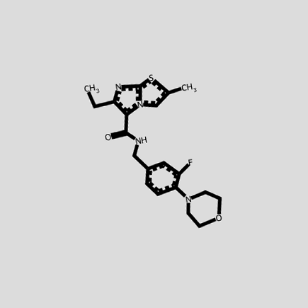 CCc1nc2sc(C)cn2c1C(=O)NCc1ccc(N2CCOCC2)c(F)c1